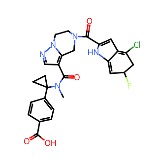 CN(C(=O)c1cnn2c1CN(C(=O)c1cc3c([nH]1)=CC(F)CC=3Cl)CC2)C1(c2ccc(C(=O)O)cc2)CC1